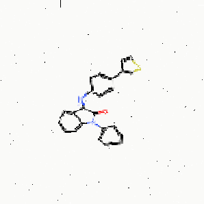 O=C1/C(=N\c2ccc(-c3ccsc3)cc2)c2ccccc2N1c1ccccc1